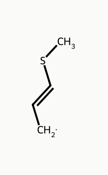 [CH2]/C=C/SC